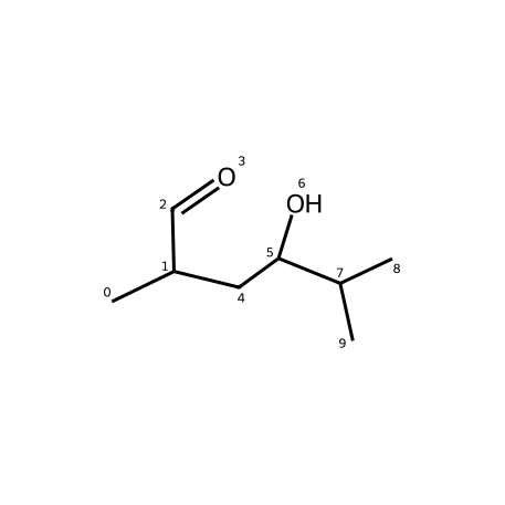 CC(C=O)CC(O)C(C)C